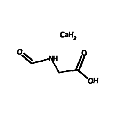 O=CNCC(=O)O.[CaH2]